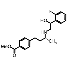 COC(=O)c1ccc(CC[C@@H](C)NCC(O)c2ccccc2F)cc1